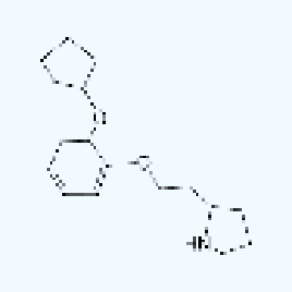 c1ccc(OC2CCCC2)c(OCCC2CCCN2)c1